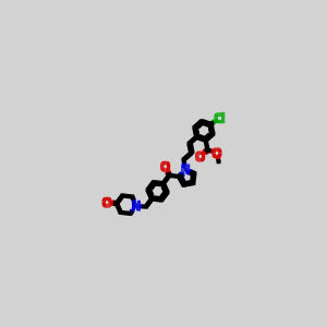 COC(=O)c1cc(Cl)ccc1C=CCn1cccc1C(=O)c1ccc(CN2CCC(=O)CC2)cc1